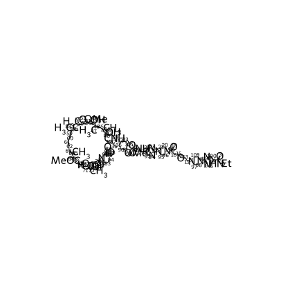 CCNC(=O)c1cnc(N2CCN(CCOCCC(=O)N3CCN(c4ncc(CNC(=O)O[C@@H]5CC[C@@H](C[C@@H](N)[C@@H]6C[C@@H](O)[C@H](C)/C=C(\C)[C@@H](O)[C@@H](OC)C(=O)[C@H](C)C[C@H](C)/C=C/C=C/C=C(\C)[C@@H](OC)C[C@@H]7CC[C@@H](C)[C@@](O)(O7)C(=O)C(=O)N7CCCC[C@H]7C(=O)O6)C[C@H]5OC)cn4)CC3)CC2)nc1